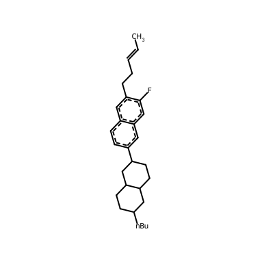 CC=CCCc1cc2ccc(C3CCC4CC(CCCC)CCC4C3)cc2cc1F